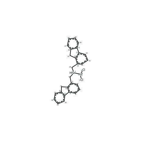 [Cl][Hf]([Cl])[SiH](Cc1cccc2c1Cc1ccccc1-2)Cc1cccc2c1Cc1ccccc1-2